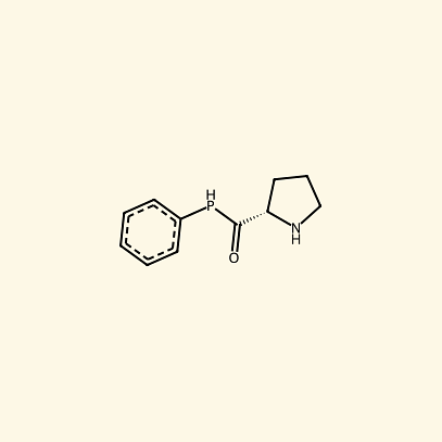 O=C(Pc1ccccc1)[C@@H]1CCCN1